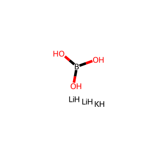 OB(O)O.[KH].[LiH].[LiH]